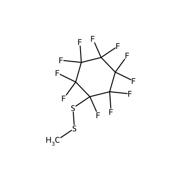 CSSC1(F)C(F)(F)C(F)(F)C(F)(F)C(F)(F)C1(F)F